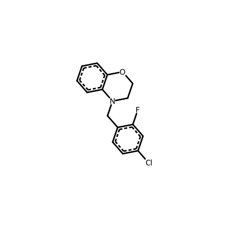 Fc1cc(Cl)ccc1CN1CCOc2ccccc21